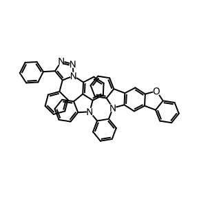 c1ccc(-c2nnn(-c3cccc4c3c3ccccc3n4-c3ccccc3-n3c4ccccc4c4cc5oc6ccccc6c5cc43)c2-c2ccccc2)cc1